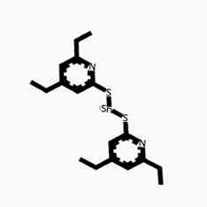 CCc1cc(CC)nc([S][Sn][S]c2cc(CC)cc(CC)n2)c1